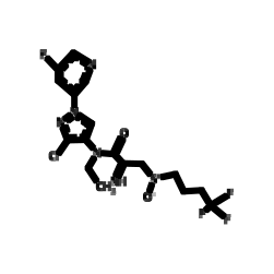 CCN(C(=O)C(=N)C[S+]([O-])CCCC(F)(F)F)c1cn(-c2cncc(F)c2)nc1Cl